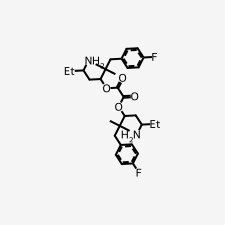 CCC(N)CC(OC(=O)C(=O)OC(CC(N)CC)C(C)(C)Cc1ccc(F)cc1)C(C)(C)Cc1ccc(F)cc1